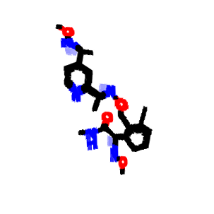 CNC(=O)/C(=N/OC)c1cccc(C)c1CO/N=C(\C)c1cc(/C(C)=N/OC)ccn1